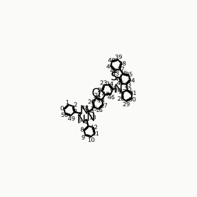 c1ccc(-c2nc(-c3ccccc3)nc(-c3ccc4c(c3)oc3ccc(-n5c6ccccc6c6ccc7c8ccccc8sc7c65)cc34)n2)cc1